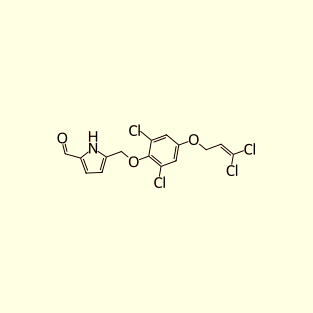 O=Cc1ccc(COc2c(Cl)cc(OCC=C(Cl)Cl)cc2Cl)[nH]1